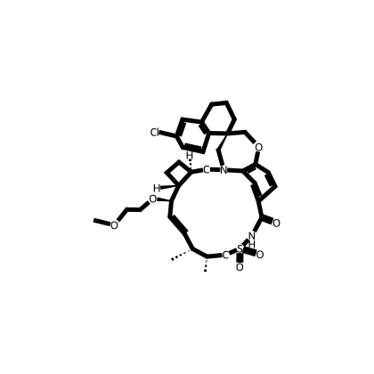 COCCO[C@@H]1/C=C/[C@@H](C)[C@@H](C)CS(=O)(=O)NC(=O)c2ccc3c(c2)N(C[C@@H]2CC[C@H]21)C[C@@]1(CCCc2cc(Cl)ccc21)CO3